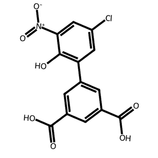 O=C(O)c1cc(C(=O)O)cc(-c2cc(Cl)cc([N+](=O)[O-])c2O)c1